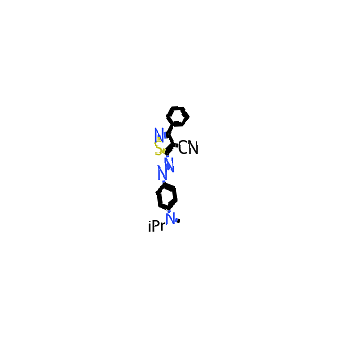 CC(C)N(C)c1ccc(N=Nc2snc(-c3ccccc3)c2C#N)cc1